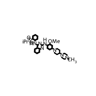 COc1cc(N2CCC(N3CCN(C)CC3)CC2)ccc1Nc1nc(Nc2ccccc2S(=O)(=O)C(C)C)c2ccccc2n1